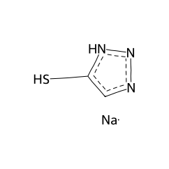 Sc1cnn[nH]1.[Na]